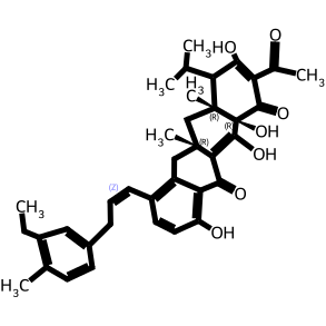 CCc1cc(C/C=C\c2ccc(O)c3c2C[C@]2(C)C[C@]4(C)C(C(C)C)C(O)=C(C(C)=O)C(=O)[C@]4(O)C(O)=C2C3=O)ccc1C